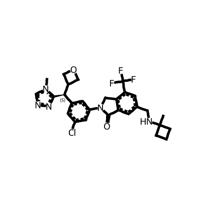 Cn1cnnc1[C@H](c1cc(Cl)cc(N2Cc3c(cc(CNC4(C)CCC4)cc3C(F)(F)F)C2=O)c1)C1COC1